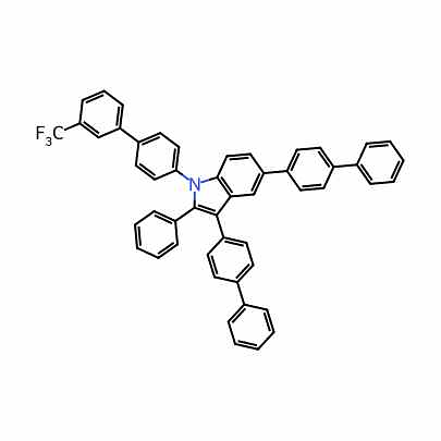 FC(F)(F)c1cccc(-c2ccc(-n3c(-c4ccccc4)c(-c4ccc(-c5ccccc5)cc4)c4cc(-c5ccc(-c6ccccc6)cc5)ccc43)cc2)c1